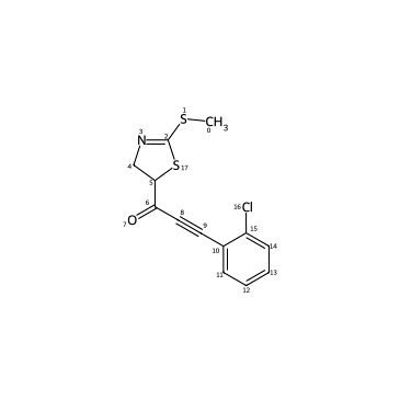 CSC1=NCC(C(=O)C#Cc2ccccc2Cl)S1